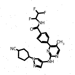 Cc1cnc(Nc2cnn(C3CCC(C#N)CC3)c2)nc1-c1ccc(C(=O)NC(F)C(F)F)cc1